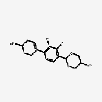 CCCC1CC=C(c2ccc(C3OCC(CCC)CO3)c(F)c2Cl)CC1